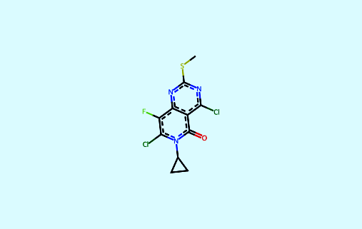 CSc1nc(Cl)c2c(=O)n(C3CC3)c(Cl)c(F)c2n1